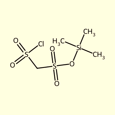 C[Si](C)(C)OS(=O)(=O)CS(=O)(=O)Cl